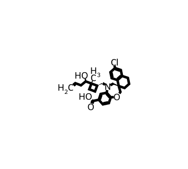 C=CC[C@@H](O)[C@]1(C)CC[C@H]1CN1C[C@@]2(CCCc3cc(Cl)ccc32)COc2ccc(C(=O)O)cc21